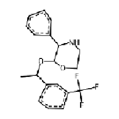 C[C@@H](OC1OCCNC1c1ccccc1)c1cccc(C(F)(F)F)c1